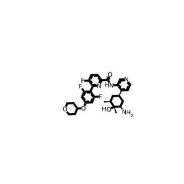 C[C@H]1C[C@@H](c2ccncc2NC(=O)c2ccc(F)c(-c3c(F)cc(OC4CCOCC4)cc3F)n2)C[C@@H](N)[C@]1(C)O